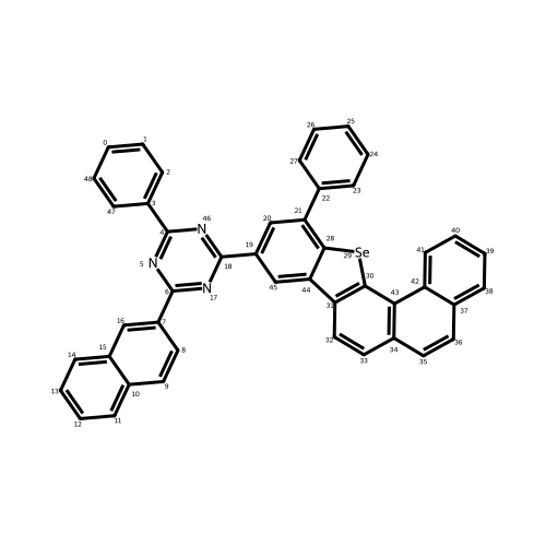 c1ccc(-c2nc(-c3ccc4ccccc4c3)nc(-c3cc(-c4ccccc4)c4[se]c5c(ccc6ccc7ccccc7c65)c4c3)n2)cc1